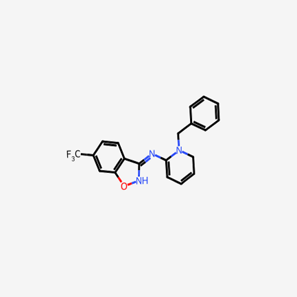 FC(F)(F)c1ccc2c(=NC3=CC=CCN3Cc3ccccc3)[nH]oc2c1